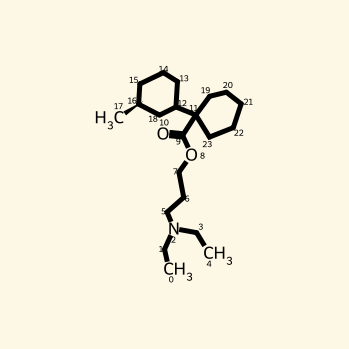 CCN(CC)CCCOC(=O)C1(C2CCC[C@H](C)C2)CCCCC1